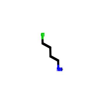 [NH]CCCCCl